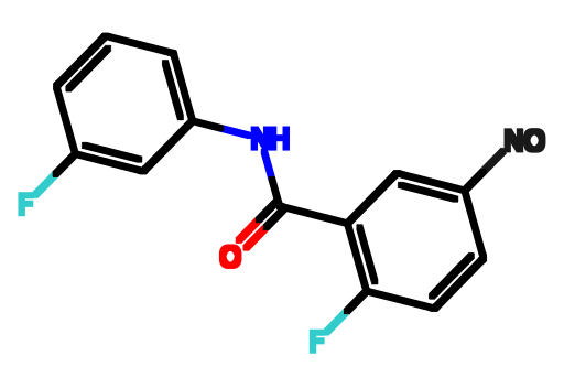 O=Nc1ccc(F)c(C(=O)Nc2cccc(F)c2)c1